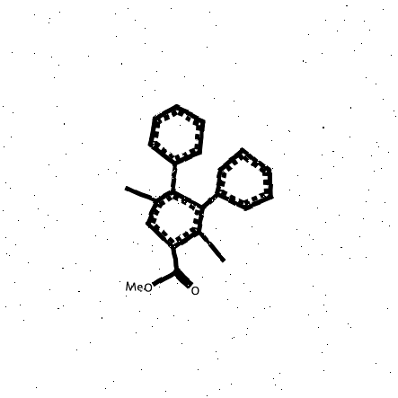 COC(=O)c1cc(C)c(-c2ccccc2)c(-c2ccccc2)c1C